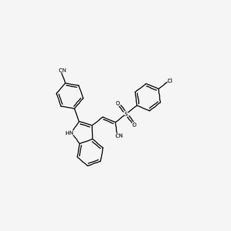 N#CC(=Cc1c(-c2ccc(C#N)cc2)[nH]c2ccccc12)S(=O)(=O)c1ccc(Cl)cc1